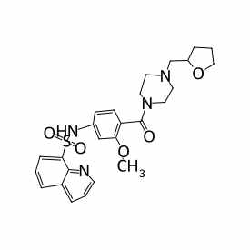 COc1cc(NS(=O)(=O)c2cccc3cccnc23)ccc1C(=O)N1CCN(CC2CCCO2)CC1